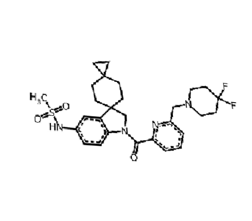 CS(=O)(=O)Nc1ccc2c(c1)C1(CCC3(CC3)CC1)CN2C(=O)c1cccc(CN2CCC(F)(F)CC2)n1